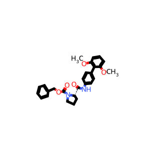 COc1cccc(OC)c1-c1ccc(NC(=O)[C@@H]2CCCN2C(=O)OCc2ccccc2)cc1